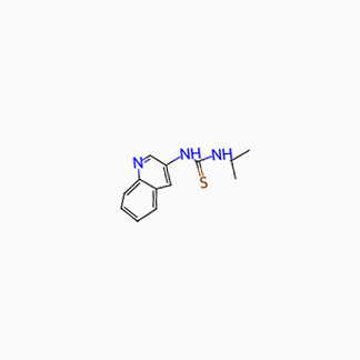 CC(C)NC(=S)Nc1cnc2ccccc2c1